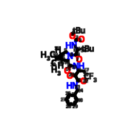 CC(C)(C)OC(=O)N[C@H](C(=O)N1C[C@H]2[C@@H]([C@H]1C(=O)NC(CC(F)(F)F)C(=O)C(=O)NCc1ccccc1)C2(C)C)C(C)(C)C